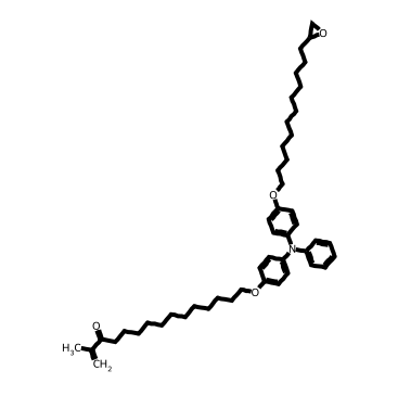 C=C(C)C(=O)CCCCCCCCCCCCOc1ccc(N(c2ccccc2)c2ccc(OCCCCCCCCCCCCC3CO3)cc2)cc1